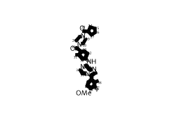 COc1ccc(-c2cnc3c(Nc4ccc(C(=O)N5CCN(C(=O)C6CCCC6)CC5)c(C)c4)nccn23)c(C)c1F